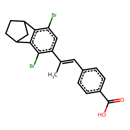 CC(=Cc1ccc(C(=O)O)cc1)c1cc(Br)c2c(c1Br)C1CCC2C1